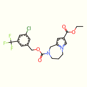 CCOC(=O)c1cc2n(c1)CCCN(C(=O)OCc1cc(Cl)cc(C(F)(F)F)c1)C2